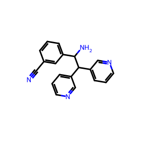 N#Cc1cccc(C(N)C(c2cccnc2)c2cccnc2)c1